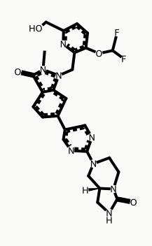 Cn1c(=O)c2ccc(-c3cnc(N4CCN5C(=O)NC[C@@H]5C4)nc3)cc2n1Cc1nc(CO)ccc1OC(F)F